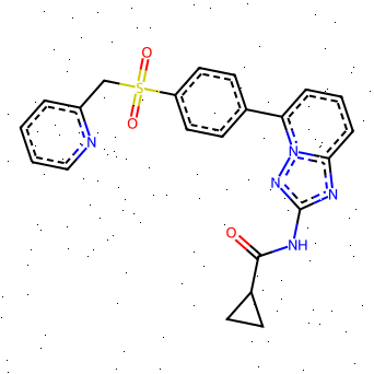 O=C(Nc1nc2cccc(-c3ccc(S(=O)(=O)Cc4ccccn4)cc3)n2n1)C1CC1